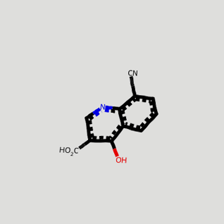 N#Cc1cccc2c(O)c(C(=O)O)cnc12